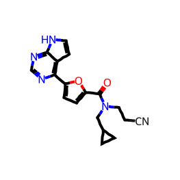 N#CCCN(CC1CC1)C(=O)c1ccc(-c2ncnc3[nH]ccc23)o1